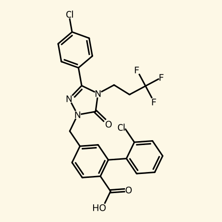 O=C(O)c1ccc(Cn2nc(-c3ccc(Cl)cc3)n(CCC(F)(F)F)c2=O)cc1-c1ccccc1Cl